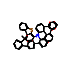 CC1(C)c2ccccc2-c2ccc(-c3ccccc3N(c3cccc(-c4ccccc4)c3-c3ccccc3-c3ccccc3)c3cccc4c3sc3ccccc34)cc21